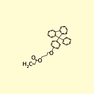 C=CC(=O)OCCCOc1ccc(C2(c3ccccc3)c3ccccc3-c3ccccc32)cc1